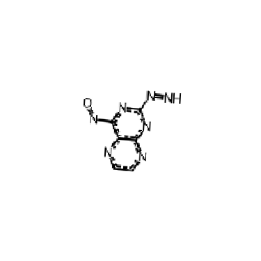 N=Nc1nc(N=O)c2nccnc2n1